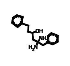 NC(N)(Cc1ccccc1)CC(O)CCc1ccccc1